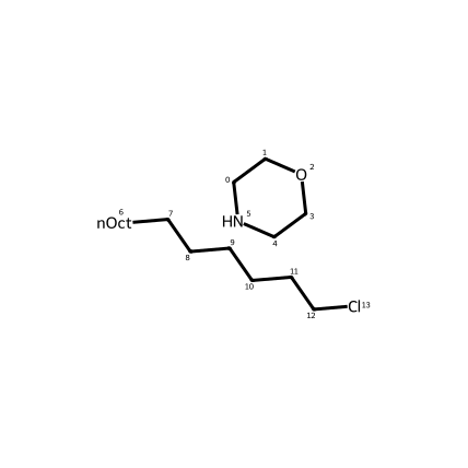 C1COCCN1.CCCCCCCCCCCCCCCl